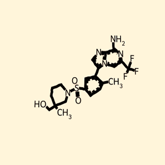 Cc1ccc(S(=O)(=O)N2CCCC(C)(CO)C2)cc1-c1cnc2c(N)nc(C(F)(F)F)cn12